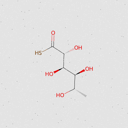 C[C@H](O)[C@H](O)[C@@H](O)[C@@H](O)C(=O)S